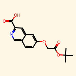 CC(C)(C)OC(=O)COc1ccc2cnc(C(=O)O)cc2c1